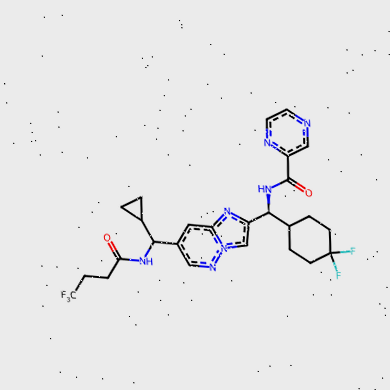 O=C(CCC(F)(F)F)NC(c1cnn2cc([C@@H](NC(=O)c3cnccn3)C3CCC(F)(F)CC3)nc2c1)C1CC1